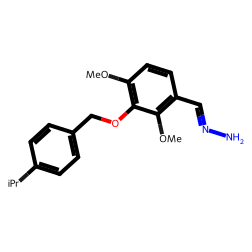 COc1ccc(C=NN)c(OC)c1OCc1ccc(C(C)C)cc1